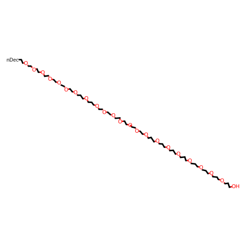 CCCCCCCCCCCCOCCOCCOCCOCCOCCOCCOCCCOCCCOCCOCCOCCOCCOCCOCCOCCCOCCCOCCCOCCCOCCCOCCCOCCCOCCCO